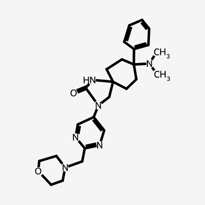 CN(C)C1(c2ccccc2)CCC2(CC1)CN(c1cnc(CN3CCOCC3)nc1)C(=O)N2